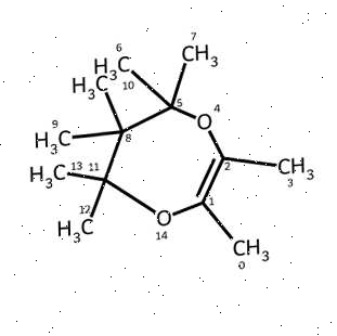 CC1=C(C)OC(C)(C)C(C)(C)C(C)(C)O1